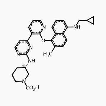 Cc1ccc2c(NCC3CC3)cccc2c1Oc1ncccc1-c1ccnc(N[C@H]2CCCN(C(=O)O)C2)n1